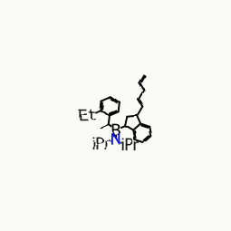 C=CCCCC1CC(B(C(C)c2ccccc2CC)N(C(C)C)C(C)C)c2ccccc21